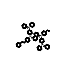 C=Cc1ccc(N(c2ccc(N(c3ccccc3)c3ccccc3)cc2)c2cccc3c(N(c4ccc(C=Cc5ccccc5)cc4)c4ccc(N(c5ccccc5)c5ccccc5)cc4)cccc23)cc1